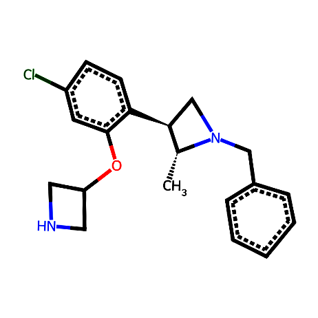 C[C@@H]1[C@@H](c2ccc(Cl)cc2OC2CNC2)CN1Cc1ccccc1